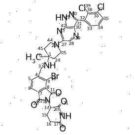 CC1(NCc2ccc3c(c2Br)C(=O)N(C2CCC(=O)NC2=O)C3=O)CCN(c2cnc3c(-c4cccc(Cl)c4Cl)n[nH]c3n2)CC1